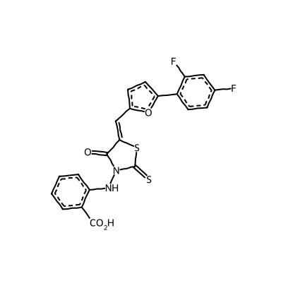 O=C(O)c1ccccc1NN1C(=O)C(=Cc2ccc(-c3ccc(F)cc3F)o2)SC1=S